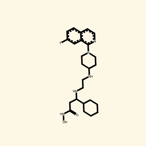 O=C(CC(NCCNC1CCN(c2nccc3ccc(F)cc23)CC1)C1CCCCC1)NO